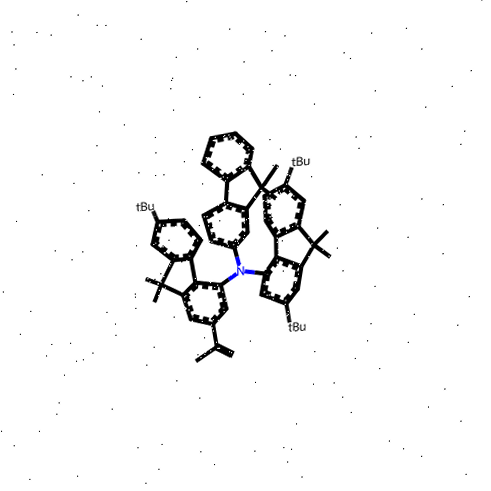 C=C(C)c1cc(N(c2ccc3c(c2)C(C)(C)c2ccccc2-3)c2cc(C(C)(C)C)cc3c2-c2ccc(C(C)(C)C)cc2C3(C)C)c2c(c1)C(C)(C)c1cc(C(C)(C)C)ccc1-2